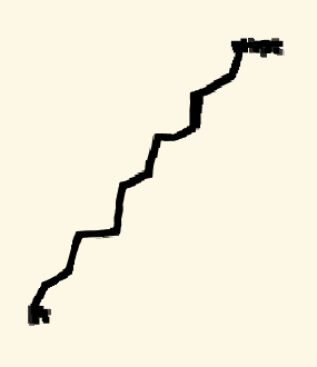 CCCCCCCCC=CCCCCCCCC(C)C